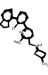 COc1nc(-c2cccc(-c3cccc4c3CCC4)c2Cl)ccc1CNC1CC(C)C1